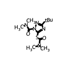 CN(C)C(=O)Sc1nc(C(C)(C)C)nn1C(=O)N(C)C